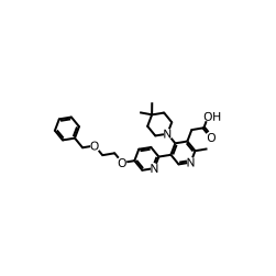 Cc1ncc(-c2ccc(OCCOCc3ccccc3)cn2)c(N2CCC(C)(C)CC2)c1CC(=O)O